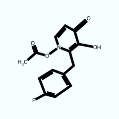 CC(=O)On1ccc(=O)c(O)c1Cc1ccc(F)cc1